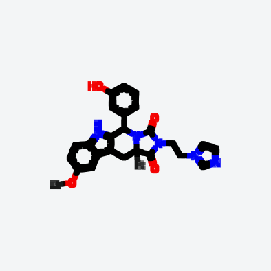 CCOc1ccc2[nH]c3c(c2c1)CC1(CC)C(=O)N(CCn2ccnc2)C(=O)N1C3c1cccc(O)c1